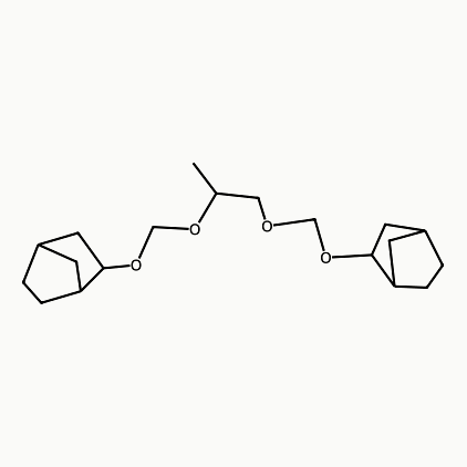 CC(COCOC1CC2CCC1C2)OCOC1CC2CCC1C2